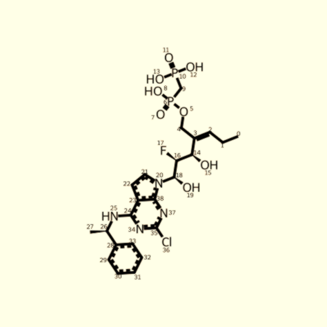 CC/C=C(/COP(=O)(O)CP(=O)(O)O)[C@@H](O)[C@H](F)[C@@H](O)n1ccc2c(N[C@H](C)c3ccccc3)nc(Cl)nc21